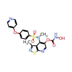 Cc1nsc2ncc(OC(=O)NO)c(N(C)S(=O)(=O)c3ccc(Oc4ccncc4)cc3)c12